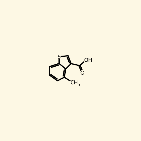 Cc1cccc2scc(C(=O)O)c12